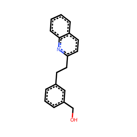 OCc1cccc(CCc2ccc3ccccc3n2)c1